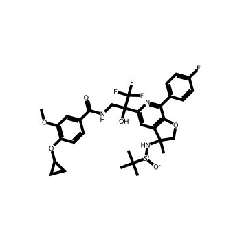 COc1cc(C(=O)NCC(O)(c2cc3c(c(-c4ccc(F)cc4)n2)OCC3(C)N[S+]([O-])C(C)(C)C)C(F)(F)F)ccc1OC1CC1